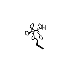 C=CCOS(=O)(=O)S(=O)O